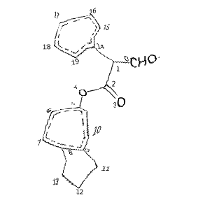 O=[C]C(C(=O)Oc1ccc2c(c1)CCC2)c1ccccc1